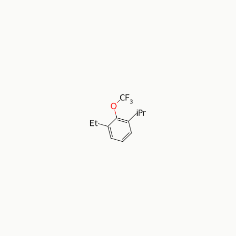 [CH2]C(C)c1cccc(CC)c1OC(F)(F)F